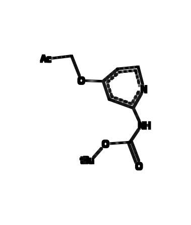 CC(=O)COc1ccnc(NC(=O)OC(C)(C)C)c1